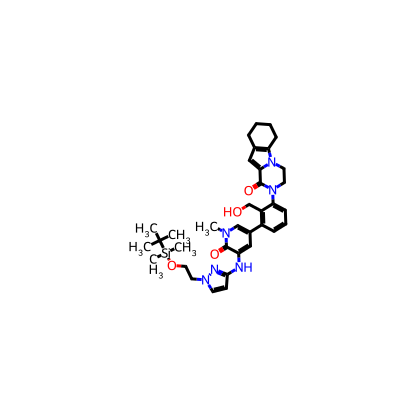 Cn1cc(-c2cccc(N3CCn4c(cc5c4CCCC5)C3=O)c2CO)cc(Nc2ccn(CCO[Si](C)(C)C(C)(C)C)n2)c1=O